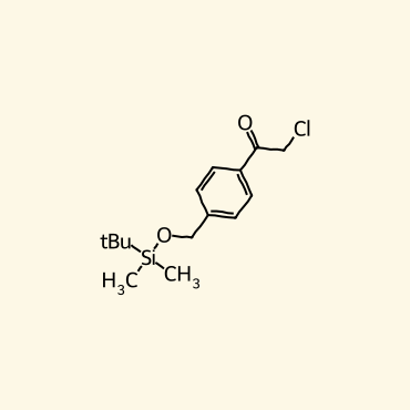 CC(C)(C)[Si](C)(C)OCc1ccc(C(=O)CCl)cc1